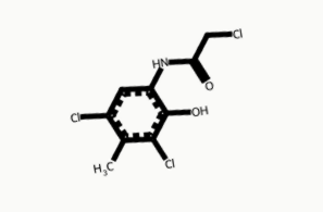 Cc1c(Cl)cc(NC(=O)CCl)c(O)c1Cl